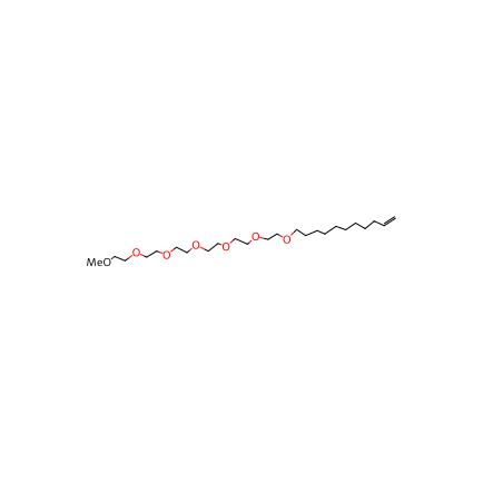 C=CCCCCCCCCCOCCOCCOCCOCCOCCOCCOC